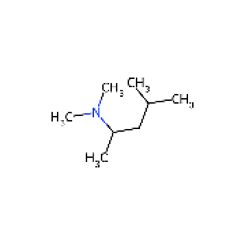 CC(C)CC(C)N(C)C